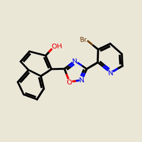 Oc1ccc2ccccc2c1-c1nc(-c2ncccc2Br)no1